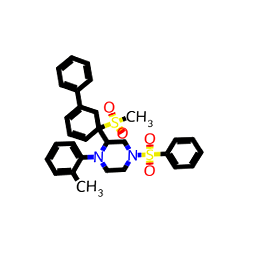 Cc1ccccc1N1CCN(S(=O)(=O)c2ccccc2)CC1C1(S(C)(=O)=O)C=CC=C(c2ccccc2)C1